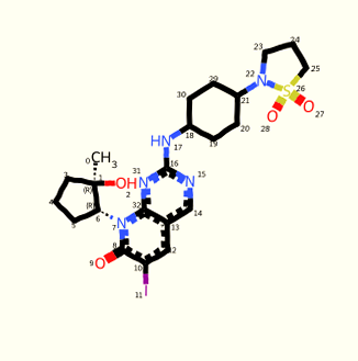 C[C@@]1(O)CCC[C@H]1n1c(=O)c(I)cc2cnc(NC3CCC(N4CCCS4(=O)=O)CC3)nc21